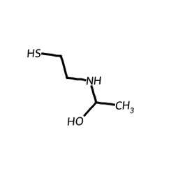 CC(O)NCCS